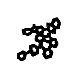 c1ccc(-c2ccc(-n3c4ccccc4c4cccc5c4c4c3cccc4n5-c3nc4ccccc4nc3-c3ccc4c(c3)sc3ccccc34)cc2)cc1